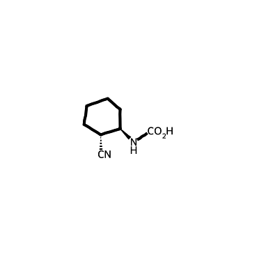 N#C[C@@H]1CCCC[C@H]1NC(=O)O